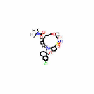 CN(C)C(=O)O[C@H]1/C=C/COC2(CCC2)C(=O)NS(=O)(=O)c2ccc3c(c2)N(C[C@@H]2CC[C@H]21)C[C@@]1(CCCc2cc(Cl)ccc21)CO3